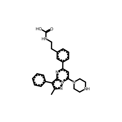 Cc1nn2c(N3CCNCC3)cc(-c3cccc(CCNC(=O)O)c3)nc2c1-c1ccccc1